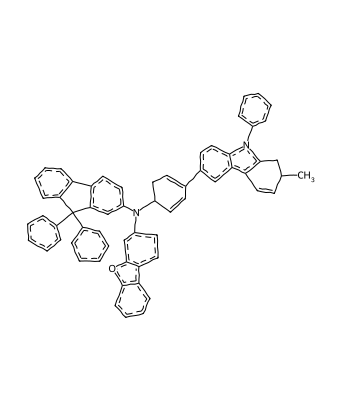 CC1C=Cc2c(n(-c3ccccc3)c3ccc(C4=CCC(N(c5ccc6c(c5)C(c5ccccc5)(c5ccccc5)c5ccccc5-6)c5ccc6c(c5)oc5ccccc56)C=C4)cc23)C1